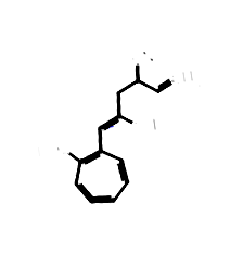 C=CC(C#N)C/C(C)=C/C1=C(C)C=C=CC=C1